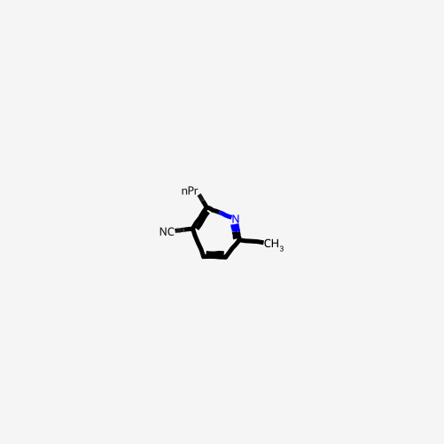 CCCc1nc(C)ccc1C#N